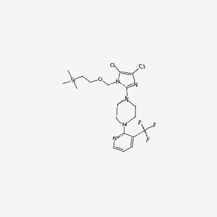 C[Si](C)(C)CCOCn1c(N2CCN(c3ncccc3C(F)(F)F)CC2)nc(Cl)c1Cl